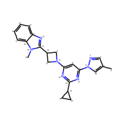 Cc1cnn(-c2cc(N3CC(c4nc5ccccc5n4C)C3)nc(C3CC3)n2)c1